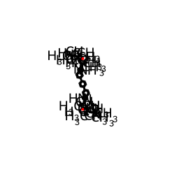 CN(C)C(=O)O[C@@](C)(C(=O)N[C@H](c1nc2ccc(-c3ccc(-c4ccc5nc([C@@H](NC(=O)[C@](C)(OC(=O)N(C)C)C(C)(C)C)C(C)(C)C)[nH]c5c4)cc3)cc2[nH]1)C(C)(C)C)C(C)(C)C